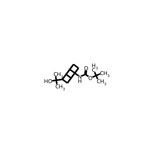 CC(C)(C)OC(=O)NC12C3C4C1C1C2C3C41C(C)(C)O